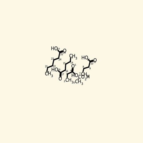 CC(=O)O.CCC(=O)O.CCCC(=O)O.CCCCC(=O)O.CCCCCC(=O)O